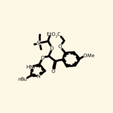 CCCCc1ncc(OC(OC(C)[Si](C)(C)C)C(=O)c2ccc(OC)cc2OCC(=O)OCC)[nH]1